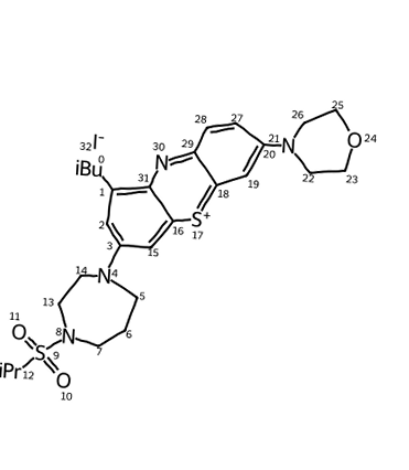 CCC(C)c1cc(N2CCCN(S(=O)(=O)C(C)C)CC2)cc2[s+]c3cc(N4CCOCC4)ccc3nc12.[I-]